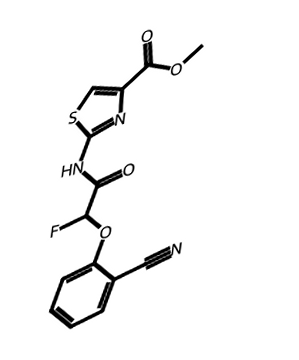 COC(=O)c1csc(NC(=O)C(F)Oc2ccccc2C#N)n1